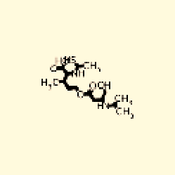 CC(C)NC(CO)CC(=O)OCCC(C)C(NC(C)S)C(=O)O